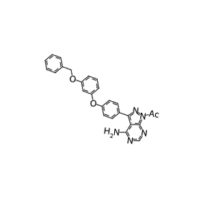 CC(=O)n1nc(-c2ccc(Oc3cccc(OCc4ccccc4)c3)cc2)c2c(N)ncnc21